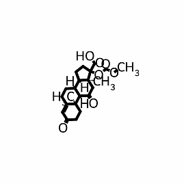 COC(=O)OC1(C(=O)O)CC[C@H]2[C@@H]3CCC4=CC(=O)CC[C@]4(C)[C@@H]3C(=O)C[C@@]21C